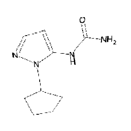 NC(=O)Nc1ccnn1C1CCCC1